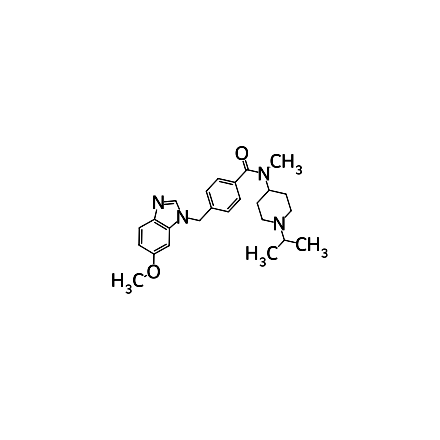 COc1ccc2ncn(Cc3ccc(C(=O)N(C)C4CCN(C(C)C)CC4)cc3)c2c1